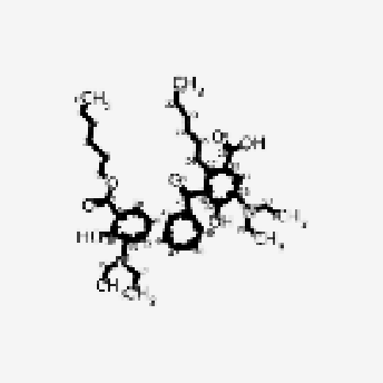 CCCCCCOC(=O)c1cccc(N(CC)CC)c1O.CCCCCCc1c(C(=O)O)cc(N(CC)CC)c(O)c1C(=O)c1ccccc1